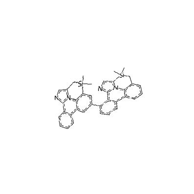 C[Si]1(C)Cc2cnc3c4ccccc4c4cc(-c5cccc6c7cccc8c7n7c(cnc7c56)[Si](C)(C)C8)cc1c4n23